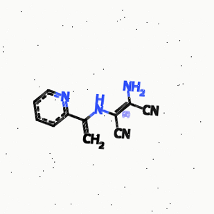 C=C(N/C(C#N)=C(\N)C#N)c1ccccn1